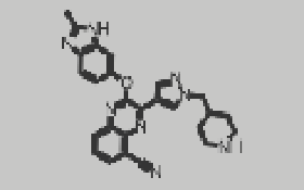 Cc1nc2ccc(Oc3nc4cccc(C#N)c4nc3-c3cnn(CC4CCNCC4)c3)cc2[nH]1